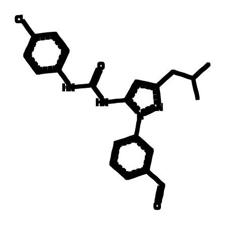 CC(C)Cc1cc(NC(=O)Nc2ccc(Cl)cc2)n(-c2cccc(C=O)c2)n1